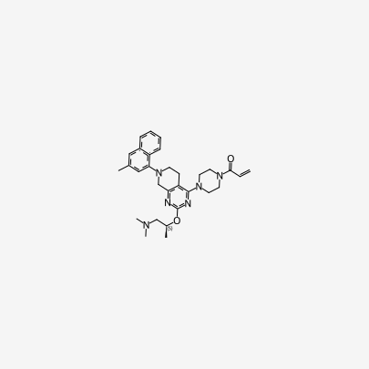 C=CC(=O)N1CCN(c2nc(O[C@@H](C)CN(C)C)nc3c2CCN(c2cc(C)cc4ccccc24)C3)CC1